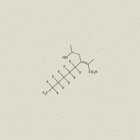 CC(C(=O)O)=C(CC(C)O)C(F)(F)C(F)(F)C(F)(F)C(F)(F)C(F)(F)C(F)(F)F